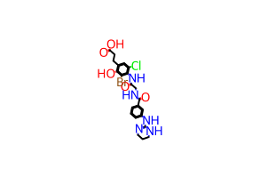 O=C(O)CCc1cc(Cl)c(NC(=O)CNC(=O)c2cccc(NC3=NCCCN3)c2)c(Br)c1O